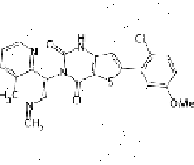 C=N/C=C(\c1ncccc1C)n1c(=O)[nH]c2cc(-c3cc(OC)ccc3Cl)sc2c1=O